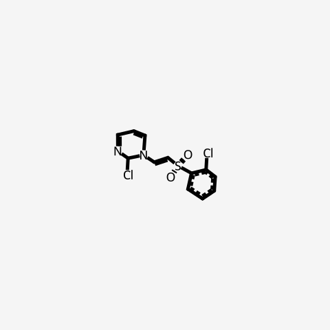 O=S(=O)(/C=C/N1C=CC=NC1Cl)c1ccccc1Cl